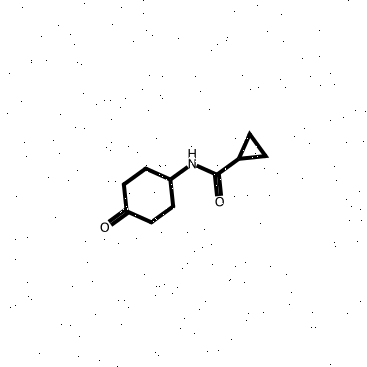 O=C1CCC(NC(=O)C2CC2)CC1